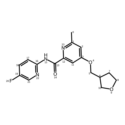 Cc1cc(OCC2CCOC2)cc(C(=O)Nc2ccc(F)cn2)n1